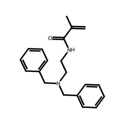 C=C(C)C(=O)NCCN(Cc1ccccc1)Cc1ccccc1